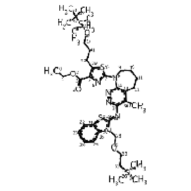 CCOC(=O)c1nc(N2CCCCc3c2nnc(/N=c2\sc4ccccc4n2COCC[Si](C)(C)C)c3C)sc1CCCO[Si](C)(C)C(C)(C)C